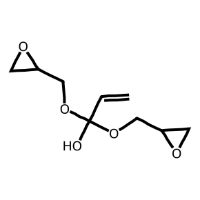 C=CC(O)(OCC1CO1)OCC1CO1